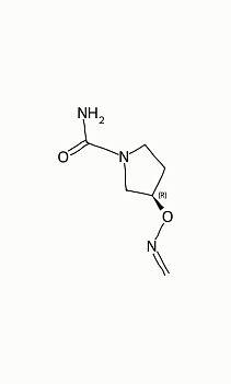 C=NO[C@@H]1CCN(C(N)=O)C1